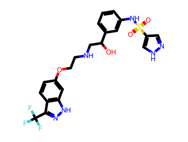 O=S(=O)(Nc1cccc(C(O)CNCCOc2ccc3c(C(F)(F)F)n[nH]c3c2)c1)c1cn[nH]c1